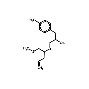 C=CCC(CSC)OCC(C)Cc1ccc(C)cc1